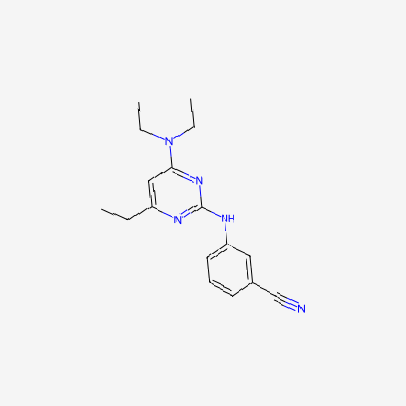 CCc1cc(N(CC)CC)nc(Nc2cccc(C#N)c2)n1